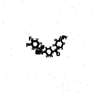 CC(C)N1CCN(C(=O)C2CCC(NS(=O)(=O)c3ccc(F)c(F)c3)CC2)CC1